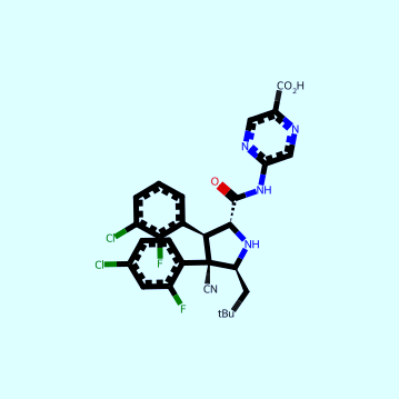 CC(C)(C)C[C@@H]1N[C@@H](C(=O)Nc2cnc(C(=O)O)cn2)[C@H](c2cccc(Cl)c2F)[C@@]1(C#N)c1ccc(Cl)cc1F